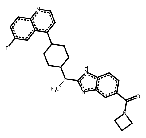 O=C(c1ccc2[nH]c([C@@H](C3CCC(c4ccnc5ccc(F)cc45)CC3)C(F)(F)F)nc2c1)N1CCC1